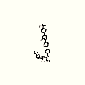 CC(C)(C)c1ccc(C(=O)N[C@@H](Cc2ccc(-c3ncc(-c4ccc(-c5ccc(C(F)(F)F)cc5)cc4F)cn3)cc2)C(O)O)s1